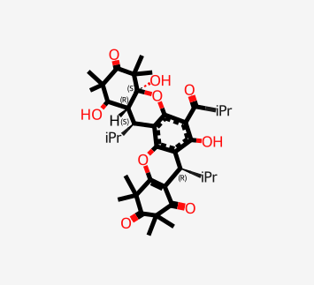 CC(C)C(=O)c1c(O)c2c(c3c1O[C@@]1(O)[C@@H](C(O)C(C)(C)C(=O)C1(C)C)[C@@H]3C(C)C)OC1=C(C(=O)C(C)(C)C(=O)C1(C)C)[C@@H]2C(C)C